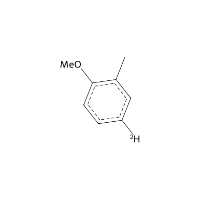 [2H]c1ccc(OC)c(C)c1